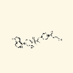 CN(CC1CCN(C(=O)CCO)CC1)S(=O)(=O)N1CCN(c2ncnc3[nH]ccc23)CC12CC2